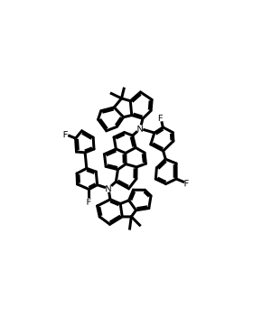 CC1(C)c2ccccc2-c2c(N(c3cc(-c4cccc(F)c4)ccc3F)c3ccc4ccc5c(N(c6cc(-c7cccc(F)c7)ccc6F)c6cccc7c6-c6ccccc6C7(C)C)ccc6ccc3c4c65)cccc21